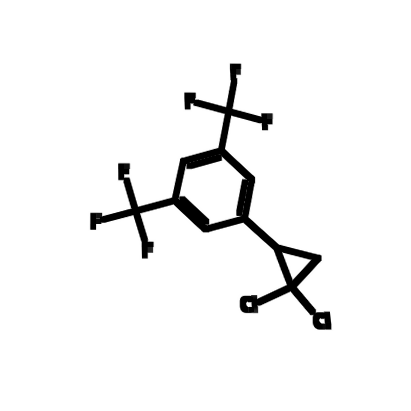 FC(F)(F)c1cc(C2CC2(Cl)Cl)cc(C(F)(F)F)c1